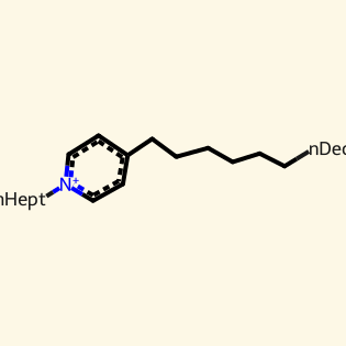 CCCCCCCCCCCCCCCCc1cc[n+](CCCCCCC)cc1